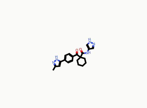 Cc1cc(-c2ccc(C(=O)C3(C(=O)Nc4cn[nH]c4)CCCCC3)cc2)[nH]n1